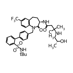 C[C@@H](O)CNC(C)(C)CC(=O)N[C@@H]1CCc2cc(C(F)(F)F)ccc2N(Cc2ccc(-c3ccccc3S(=O)(=O)NC(C)(C)C)cc2)C1=O